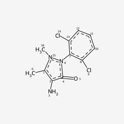 Cc1c(N)c(=O)n(-c2c(Cl)cccc2Cl)n1C